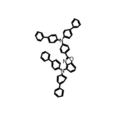 c1ccc(-c2ccc(N(c3ccc(-c4ccccc4)cc3)c3ccc(-c4nc5c(N(c6ccc(-c7ccccc7)cc6)c6ccc(-c7ccccc7)cc6)cccc5o4)cc3)cc2)cc1